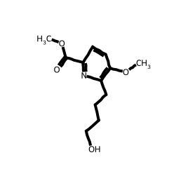 COC(=O)c1ccc(OC)c(CCCCO)n1